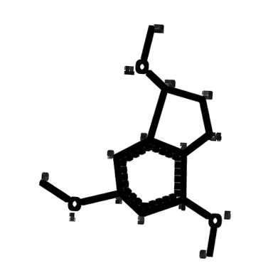 COc1cc(OC)c2c(c1)C(OC)C[CH]2